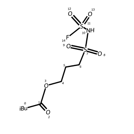 CCC(C)C(=O)OCCCS(=O)(=O)NS(=O)(=O)F